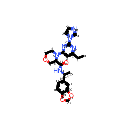 CCc1cc(N2CCOCC2C(=O)NC(C)c2ccc3c(c2)OCO3)nc(-n2ccnc2)n1